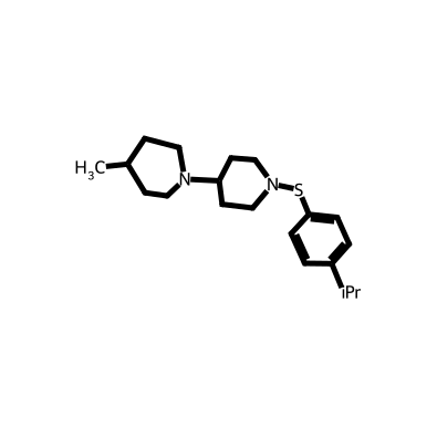 CC1CCN(C2CCN(Sc3ccc(C(C)C)cc3)CC2)CC1